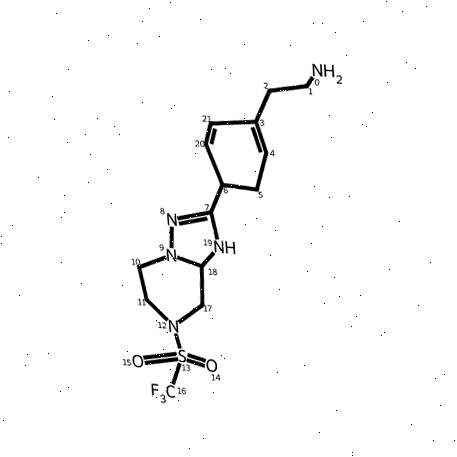 NCCC1=CCC(C2=NN3CCN(S(=O)(=O)C(F)(F)F)CC3N2)C=C1